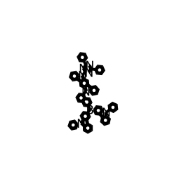 c1ccc(-c2nc(-c3ccccc3)nc(-n3c4ccccc4c4cc5c(cc43)c3ccccc3n5-c3cccc4cc(B(c5ccc6c(c5)c5ccccc5n6-c5ccccc5)c5ccc6c(c5)c5ccccc5n6-c5ccccc5)ccc34)n2)cc1